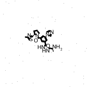 Cc1csc([C@H]2CCCN2C(=O)c2cc(C(=N)OC(=N)[C@H](C)N)cc(-n3ccnc3)c2)n1